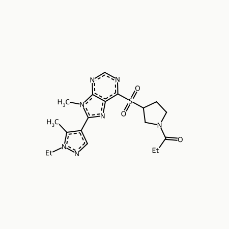 CCC(=O)N1CCC(S(=O)(=O)c2ncnc3c2nc(-c2cnn(CC)c2C)n3C)C1